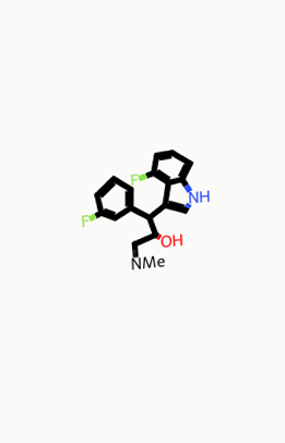 CNCC(O)C(c1cccc(F)c1)c1c[nH]c2cccc(F)c12